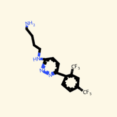 NCCCCNc1ccc(-c2ccc(C(F)(F)F)cc2C(F)(F)F)nn1